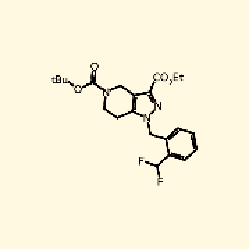 CCOC(=O)c1nn(Cc2ccccc2C(F)F)c2c1CN(C(=O)OC(C)(C)C)CC2